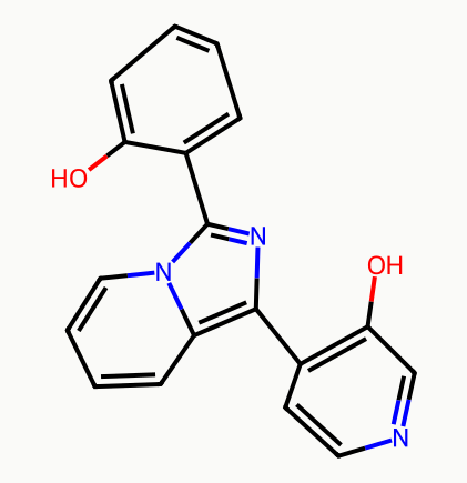 Oc1cnccc1-c1nc(-c2ccccc2O)n2ccccc12